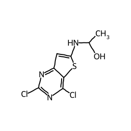 CC(O)Nc1cc2nc(Cl)nc(Cl)c2s1